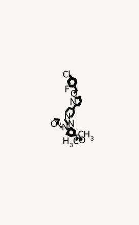 CP(C)(=O)c1ccc2c(c1)nc(CN1CCC(c3cccc(OCc4ccc(Cl)cc4F)n3)CC1)n2C[C@@H]1CCO1